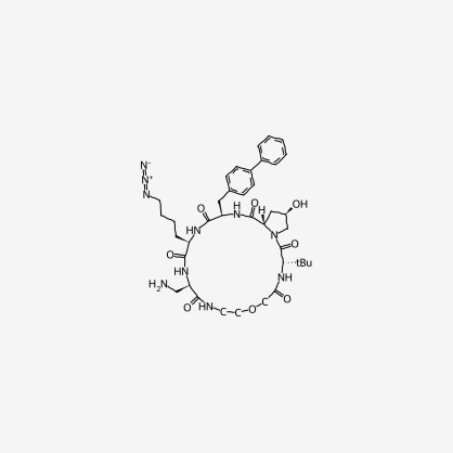 CC(C)(C)[C@@H]1NC(=O)COCCNC(=O)[C@@H](CN)NC(=O)[C@@H](CCCCN=[N+]=[N-])NC(=O)[C@@H](Cc2ccc(-c3ccccc3)cc2)NC(=O)[C@@H]2C[C@@H](O)CN2C1=O